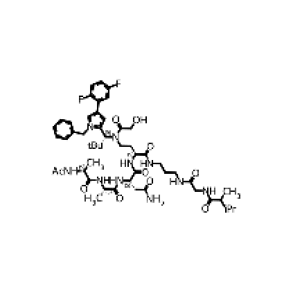 CC(=O)N[C@@H](C)C(=O)N[C@@H](C)C(=O)N[C@@H](CC(N)=O)C(=O)N[C@@H](CCN(C(=O)CO)[C@@H](c1cc(-c2cc(F)ccc2F)cn1Cc1ccccc1)C(C)(C)C)C(=O)NCCCNC(=O)CNC(=O)C(C)C(C)C